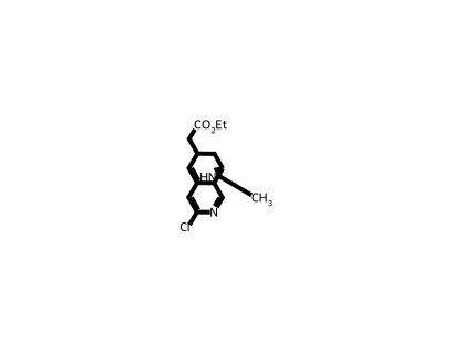 CCOC(=O)CC1C=C2C=C(Cl)N=CC23NC(C)CC3C1